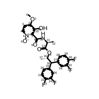 COc1cc[n+]([O-])c(C(=O)N[C@@H](C)C(=O)O[C@@H](C)C(c2ccc(F)c(F)c2)c2ccc(F)c(F)c2)c1O